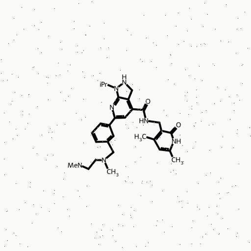 CNCCN(C)Cc1cccc(-c2cc(C(=O)NCc3c(C)cc(C)[nH]c3=O)c3c(n2)N(C(C)C)NC3)c1